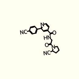 N#Cc1ccc(-c2cc(C(=O)NCC(=O)N3CCCC3C#N)ccn2)cc1